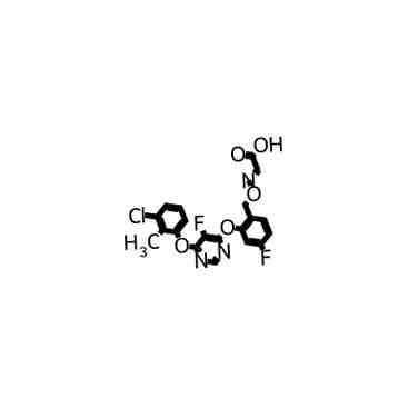 Cc1c(Cl)cccc1Oc1ncnc(Oc2cc(F)ccc2CON=CC(=O)O)c1F